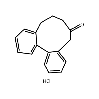 Cl.O=C1CCCc2ccccc2-c2ccccc2C1